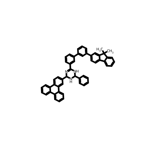 CC1(C)c2ccccc2-c2ccc(-c3cccc(-c4cccc(C5=NC(c6ccc7c8ccccc8c8ccccc8c7c6)NC(c6ccccc6)N5)c4)c3)cc21